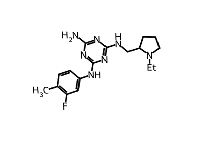 CCN1CCCC1CNc1nc(N)nc(Nc2ccc(C)c(F)c2)n1